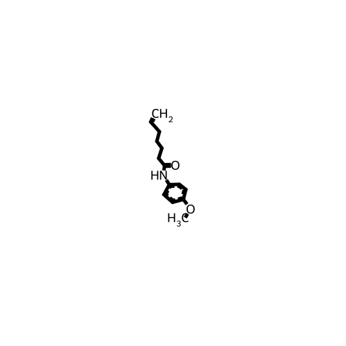 C=CCCCCC(=O)Nc1ccc(OC)cc1